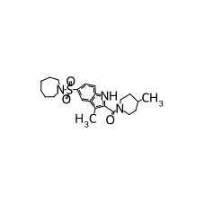 Cc1c(C(=O)N2CCC(C)CC2)[nH]c2ccc(S(=O)(=O)N3CCCCCC3)cc12